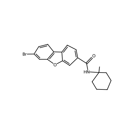 CC1(NC(=O)c2ccc3c(c2)oc2cc(Br)ccc23)CCCCC1